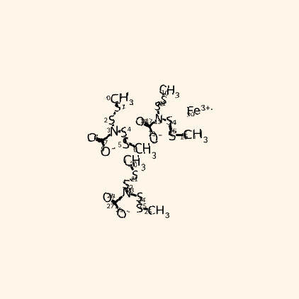 CSSN(SSC)C(=O)[O-].CSSN(SSC)C(=O)[O-].CSSN(SSC)C(=O)[O-].[Fe+3]